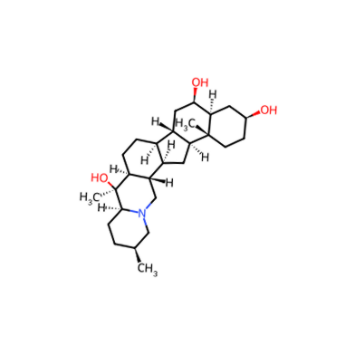 C[C@H]1CC[C@@H]2N(C1)C[C@H]1[C@@H]3C[C@H]4[C@@H](C[C@@H](O)[C@H]5C[C@@H](O)CC[C@@]54C)[C@@H]3CC[C@@H]1[C@]2(C)O